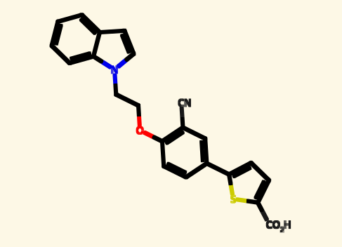 N#Cc1cc(-c2ccc(C(=O)O)s2)ccc1OCCn1ccc2ccccc21